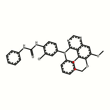 COc1cc2ncnc(N(c3ccccc3)c3ccc(NC(=O)Nc4ccccc4)c(Cl)c3)c2c2c1OCCO2